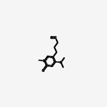 CN(C)c1cc(=O)n(C)cc1CCCC=O